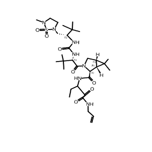 C=CCNC(=O)C(=O)C(CC)NC(=O)[C@@H]1[C@@H]2[C@H](CN1C(=O)[C@@H](NC(=O)N[C@H](CN1CCN(C)S1(=O)=O)C(C)(C)C)C(C)(C)C)C2(C)C